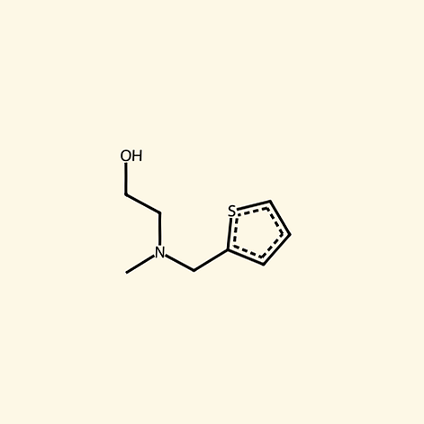 CN(CCO)Cc1cccs1